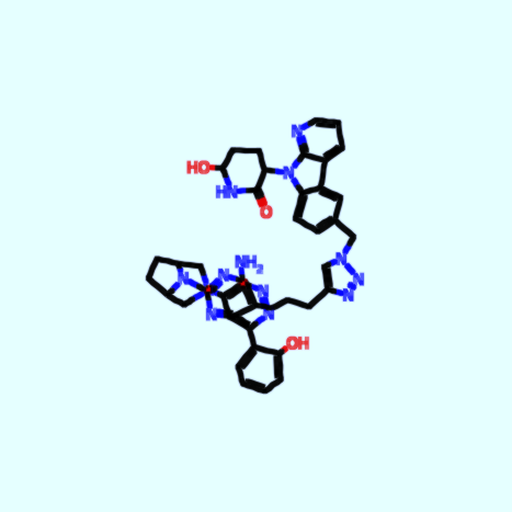 Nc1nnc(-c2ccccc2O)cc1N1CC2CCC(C1)N2c1ncc(CCCc2cn(Cc3ccc4c(c3)c3cccnc3n4C3CCC(O)NC3=O)nn2)cn1